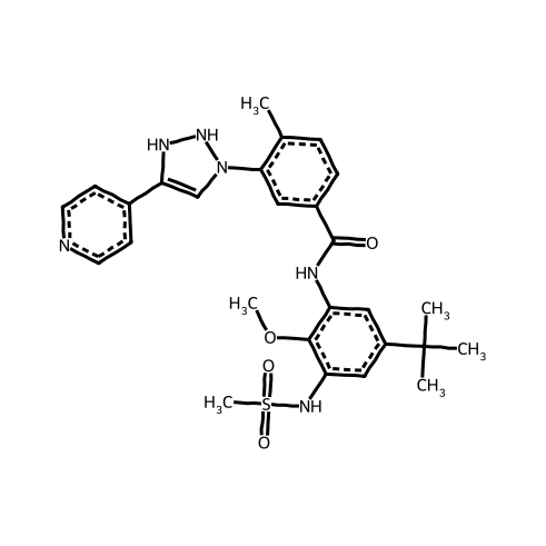 COc1c(NC(=O)c2ccc(C)c(N3C=C(c4ccncc4)NN3)c2)cc(C(C)(C)C)cc1NS(C)(=O)=O